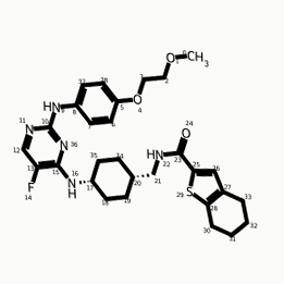 COCCOc1ccc(Nc2ncc(F)c(N[C@H]3CC[C@@H](CNC(=O)c4cc5c(s4)CCCC5)CC3)n2)cc1